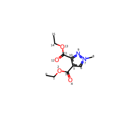 CCOC(=O)c1cn(C)nc1C(=O)OCC